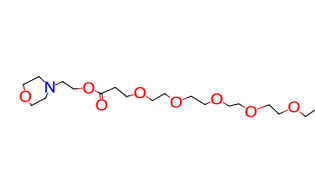 CCOCCOCCOCCOCCOCCC(=O)OCCN1CCOCC1